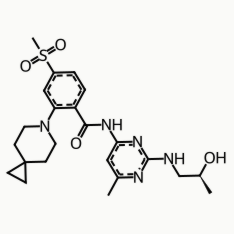 Cc1cc(NC(=O)c2ccc(S(C)(=O)=O)cc2N2CCC3(CC2)CC3)nc(NC[C@H](C)O)n1